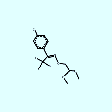 COC(CON=C(c1ccc(Cl)cc1)C(F)(F)F)OC